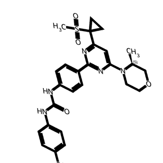 COc1ccc(NC(=O)Nc2ccc(-c3nc(N4CCOC[C@@H]4C)cc(C4(S(C)(=O)=O)CC4)n3)cc2)cc1